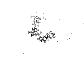 CC(C)N1CCC(n2cc(NC(=O)c3cnn4ccc(N5CCOCC5)nc34)c(C(F)F)n2)CC1